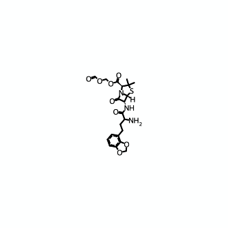 CC1(C)S[C@@H]2[C@H](NC(=O)C(N)CCc3cccc4c3OCO4)C(=O)N2[C@H]1C(=O)OCOC=O